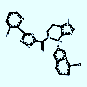 O=C(c1nnc(-c2ncccc2F)o1)N1CCc2[nH]cnc2[C@@H]1c1cc2cccc(Cl)n2n1